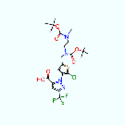 CN(CCN(Cc1cc(-n2nc(C(F)(F)F)cc2C(=O)O)c(Cl)s1)C(=O)OC(C)(C)C)C(=O)OC(C)(C)C